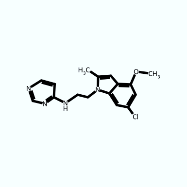 COc1cc(Cl)cc2c1cc(C)n2CCNc1ccncn1